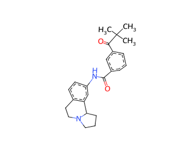 CC(C)(C)C(=O)c1cccc(C(=O)Nc2ccc3c(c2)C2CCCN2CC3)c1